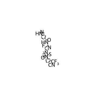 CC1(C)C(=O)N(c2ccc(C#N)c(C(F)(F)F)c2)C(=S)N1c1cnc(CNC(=O)c2ccc3[nH]ncc3c2)c(F)c1